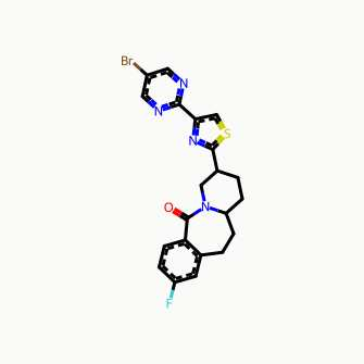 O=C1c2ccc(F)cc2CCC2CCC(c3nc(-c4ncc(Br)cn4)cs3)CN12